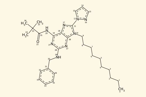 CCCCCCCCCCn1c(-n2cccn2)nc2c(NC(=O)C(C)(C)C)nc(NCc3ccccc3)nc21